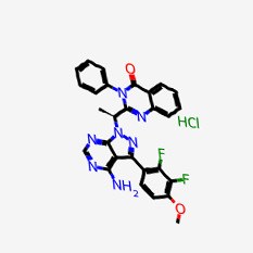 COc1ccc(-c2nn([C@@H](C)c3nc4ccccc4c(=O)n3-c3ccccc3)c3ncnc(N)c23)c(F)c1F.Cl